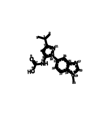 CC(C)c1cc(NC(=O)O)n(-c2ccc3c(c2)ncn3C)n1